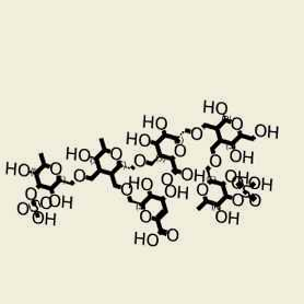 CC1O[C@H](COC[C@@H]2C(C(=O)O)O[C@@H](COCC3C(COC[C@@H]4OC(C)[C@@H](O)C(OS(=O)(=O)O)C4O)[C@H](O)C(CO)O[C@H]3O)C(O)C2O)C(COC[C@@H]2OC(C(=O)O)=CC(O)C2O)C(COC[C@@H]2OC(C)[C@@H](O)C(OS(=O)(=O)O)C2O)[C@@H]1O